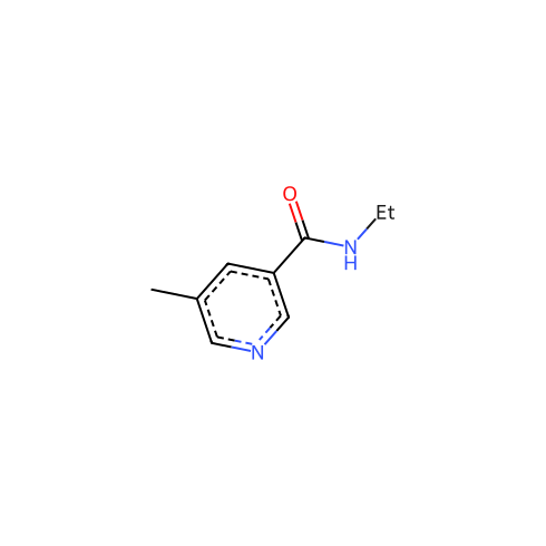 CCNC(=O)c1cncc(C)c1